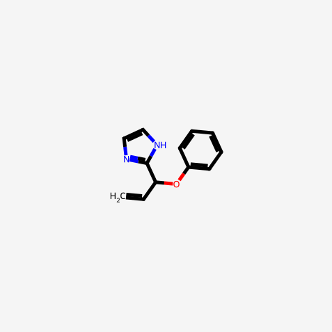 C=CC(Oc1ccccc1)c1ncc[nH]1